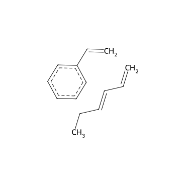 C=CC=CCC.C=Cc1ccccc1